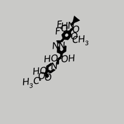 CCOC(=O)C1(O)CCN(CC(O)C(O)c2ccn3c(-c4cc(OC)c(C(=O)NC5CC5)c(OC(F)F)c4)cnc3c2)CC1